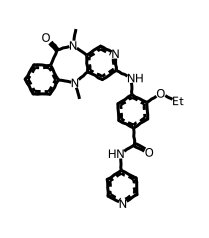 CCOc1cc(C(=O)Nc2ccncc2)ccc1Nc1cc2c(cn1)N(C)C(=O)c1ccccc1N2C